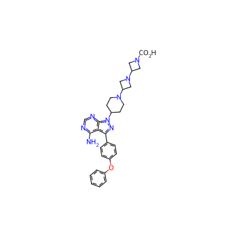 Nc1ncnc2c1c(-c1ccc(Oc3ccccc3)cc1)nn2C1CCN(C2CN(C3CN(C(=O)O)C3)C2)CC1